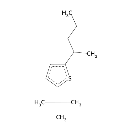 CCCC(C)c1ccc(C(C)(C)C)s1